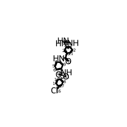 O=C(Nc1cccc(NS(=O)(=O)c2ccc(Cl)cc2)c1)c1ccc2c(c1)NNN2